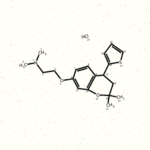 CN(C)CCOc1ccc2c(c1)OC(C)(C)CC2c1cccs1.Cl